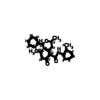 Cc1ccccc1NC(=O)c1c(CC(C)C)n(Cc2ccccn2)c(C)cc1=O